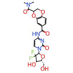 CN(C)C(=O)C1COc2ccc(C(=O)Nc3ccn(C4O[C@H](CO)[C@@H](O)C4(F)F)c(=O)n3)cc2O1